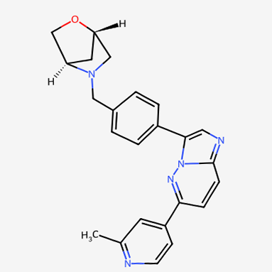 Cc1cc(-c2ccc3ncc(-c4ccc(CN5C[C@@H]6C[C@@H]5CO6)cc4)n3n2)ccn1